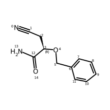 N#C[CH][C@@H](OCc1ccccc1)C(N)=O